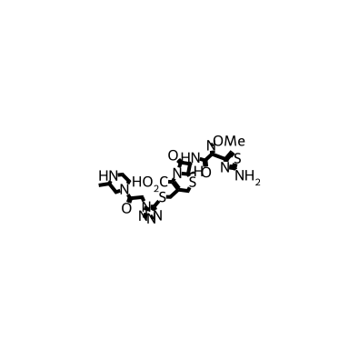 CON=C(C(=O)NC1C(=O)N2C(C(=O)O)=C(CSc3nnnn3CC(=O)N3CCNC(C)C3)CS[C@@H]12)c1csc(N)n1